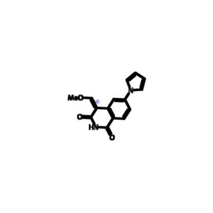 CO/C=C1\C(=O)NC(=O)c2ccc(-n3cccc3)cc21